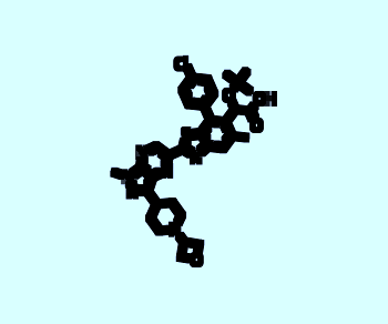 Cc1cc2nc(-c3cnc4c(n3)c(C3CCN(C5COC5)CC3)nn4C)sc2c(-c2ccc(Cl)cc2)c1C(OC(C)(C)C)C(=O)O